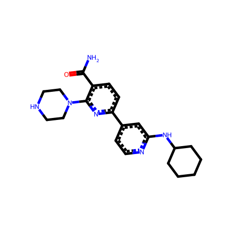 NC(=O)c1ccc(-c2ccnc(NC3CCCCC3)c2)nc1N1CCNCC1